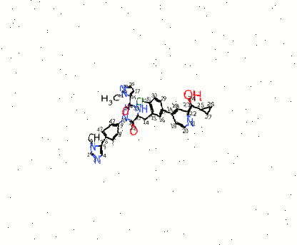 Cn1cncc1-c1ccc(NC(=O)[C@H](Cc2cc(-c3ccnc(C(O)C4CC4)c3)ccc2Cl)NC(=O)c2ccnn2C)cc1